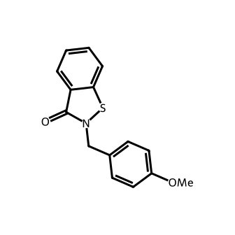 COc1ccc(Cn2sc3ccccc3c2=O)cc1